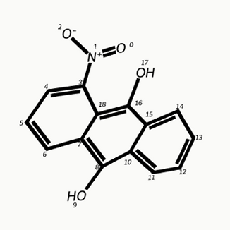 O=[N+]([O-])c1cccc2c(O)c3ccccc3c(O)c12